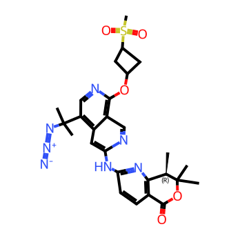 C[C@@H]1c2nc(Nc3cc4c(C(C)(C)N=[N+]=[N-])cnc(OC5CC(S(C)(=O)=O)C5)c4cn3)ccc2C(=O)OC1(C)C